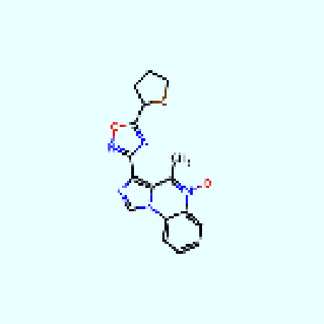 Cc1c2c(-c3noc(C4CCCS4)n3)ncn2c2ccccc2[n+]1[O-]